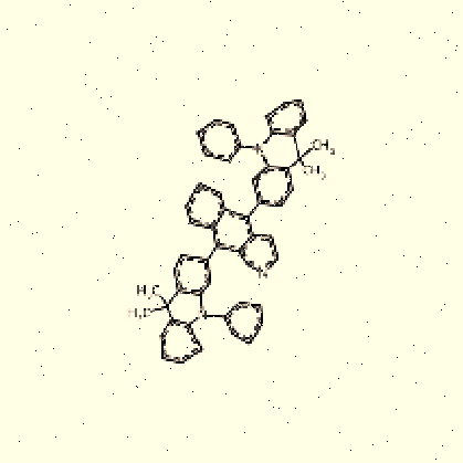 CC1(C)c2ccccc2N(c2ccccc2)c2cc(-c3c4ccccc4c(-c4ccc5c(c4)N(c4ccccc4)c4ccccc4C5(C)C)c4cnccc34)ccc21